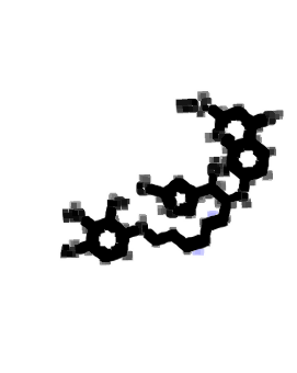 CCCc1c(OCC/C=C\C=C\[C@H](Sc2ccc3c(=O)cc(C(=O)O)oc3c2)[C@H](O)c2coc(Cl)c2)ccc(C(C)=O)c1O